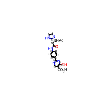 C1=NCCN1.CC(=O)NCC(=O)Nc1ccc(-c2ncc(C(=O)O)c(O)n2)cc1